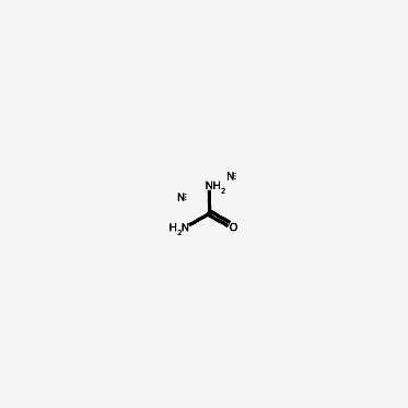 NC(N)=O.[N].[N]